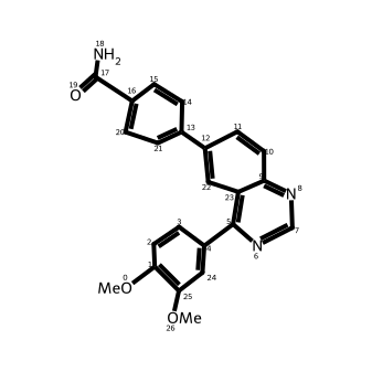 COc1ccc(-c2ncnc3ccc(-c4ccc(C(N)=O)cc4)cc23)cc1OC